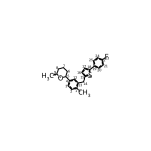 Cc1ccc(C2CCCC(C)O2)cc1Cc1ccc(-c2ccc(F)cc2)s1